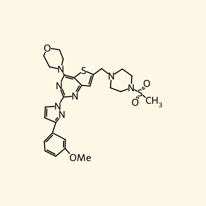 COc1cccc(-c2ccn(-c3nc(N4CCOCC4)c4sc(CN5CCN(S(C)(=O)=O)CC5)cc4n3)n2)c1